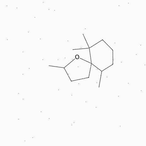 CC1CCC2(O1)C(C)CCCC2(C)C